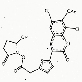 CC(=O)Oc1c(Cl)cc2cc(-c3ccc(CC(=O)ON4C(=O)CCC4O)s3)c(=O)oc2c1Cl